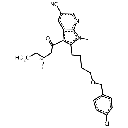 C[C@H](CC(=O)O)CC(=O)c1c(CCCCOCc2ccc(Cl)cc2)n(C)c2ncc(C#N)cc12